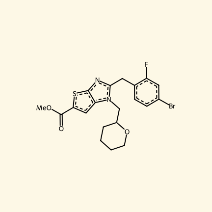 COC(=O)c1cc2c(nc(Cc3ccc(Br)cc3F)n2CC2CCCCO2)s1